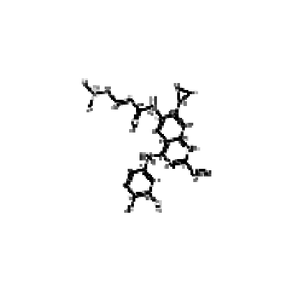 COc1nc(Nc2ccc(F)c(Cl)c2)c2cc(NC(=O)C=CCN(C)C)c(C3CC3)cc2n1